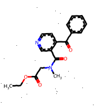 CCOC(=O)CN(C)C(=O)c1cnccc1C(=O)c1ccccc1